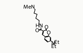 CCN(CC)c1ccc2cc(C(=O)NCCCCCCNC)c(=O)oc2c1